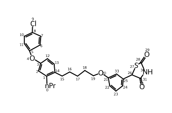 CCCc1cc(Oc2ccc(Cl)cc2)ccc1CCCCCOc1cccc(C2SC(=O)NC2=O)c1